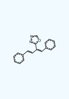 C(=Cc1ccccc1)C(=Cc1ccccc1)c1nnco1